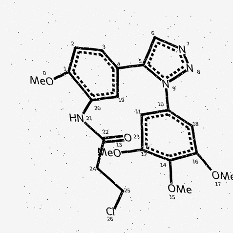 COc1ccc(-c2cnnn2-c2cc(OC)c(OC)c(OC)c2)cc1NC(=O)CCCl